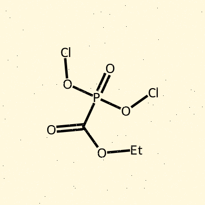 CCOC(=O)P(=O)(OCl)OCl